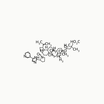 C=C(C)[C@@H]1CC[C@]2(C(=O)N3CCCC3c3ncc(-c4cccnc4)[nH]3)CC[C@]3(C)[C@H](CC[C@@H]4[C@@]5(C)CC[C@H](OC(=O)CC(C)(C)CC(=O)O)C(C)(C)[C@@H]5CC[C@]43C)[C@@H]12